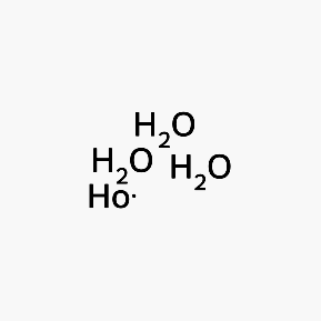 O.O.O.[Ho]